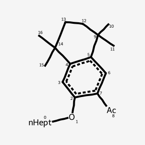 CCCCCCCOc1cc2c(cc1C(C)=O)C(C)(C)CCC2(C)C